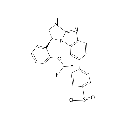 CS(=O)(=O)c1ccc(-c2ccc3nc4n(c3c2)[C@@H](c2ccccc2OC(F)F)CN4)cc1